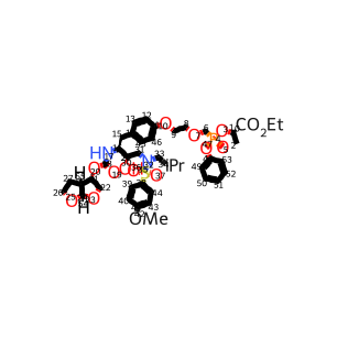 CCOC(=O)[C@@H](C)OP(=O)(COCCOc1ccc(C[C@H](NC(=O)O[C@H]2CO[C@H]3OCC[C@H]32)[C@H](O)CN(CC(C)C)S(=O)(=O)c2ccc(OC)cc2)cc1)Oc1ccccc1